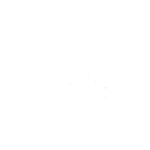 CS(=O)(=O)c1ccc2c(c1)N(C(=O)NCc1ccnc(Cl)c1)CC21CCN(CC=Cc2ccc(Cl)cc2)CC1